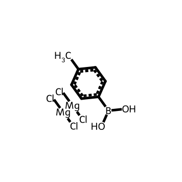 Cc1ccc(B(O)O)cc1.[Cl][Mg][Cl].[Cl][Mg][Cl]